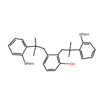 CCCCCc1ccccc1C(C)(C)Cc1cccc(O)c1CC(C)(C)c1ccccc1CCCCC